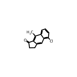 Cc1c2c(cc3c(Cl)cccc13)CCC2=O